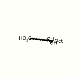 CCCCCCCCC(O)CCC(O)CCCCCCCCCCCCCCCC(=O)O